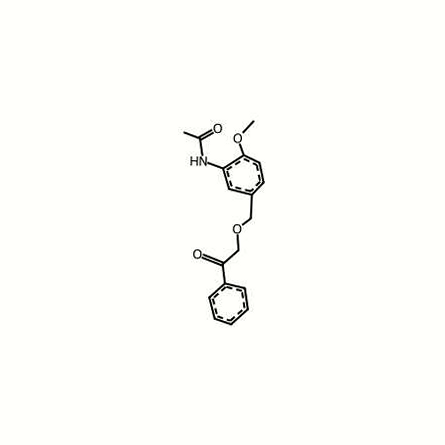 COc1ccc(COCC(=O)c2ccccc2)cc1NC(C)=O